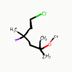 CCOC(C)(C)CC(C)(I)CCCl